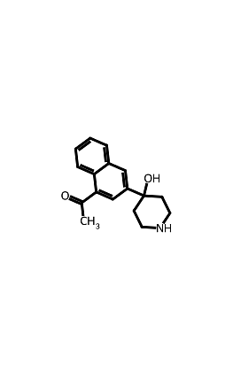 CC(=O)c1cc(C2(O)CCNCC2)cc2ccccc12